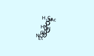 CC[C@]1(C#N)CCN(c2ccnc(Nc3ccc(N(C)C(C)=O)cc3)n2)C1=O